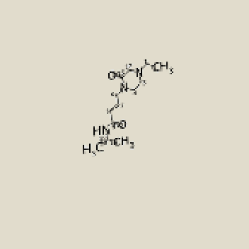 CCN1CCN(C/C=C/C(=O)NC(C)C)C(=O)C1